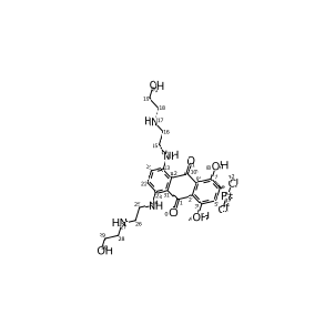 O=C1c2c(O)ccc(O)c2C(=O)c2c(NCCNCCO)ccc(NCCNCCO)c21.[Cl][Pt][Cl]